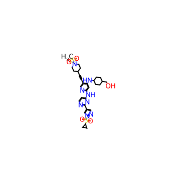 CS(=O)(=O)N1CCC(C#Cc2cnc(Nc3ccnc(-c4cnn(S(=O)(=O)C5CC5)c4)n3)cc2NC2CCC(CO)CC2)CC1